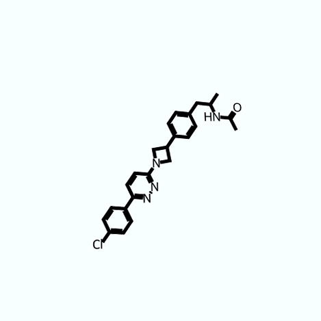 CC(=O)NC(C)Cc1ccc(C2CN(c3ccc(-c4ccc(Cl)cc4)nn3)C2)cc1